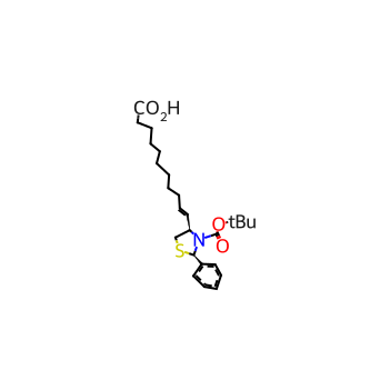 CC(C)(C)OC(=O)N1[C@H](C=CCCCCCCCCC(=O)O)CS[C@@H]1c1ccccc1